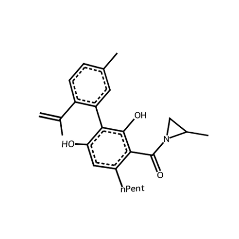 C=C(C)c1ccc(C)cc1-c1c(O)cc(CCCCC)c(C(=O)N2CC2C)c1O